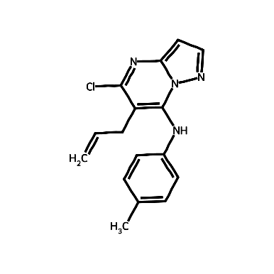 C=CCc1c(Cl)nc2ccnn2c1Nc1ccc(C)cc1